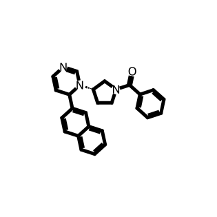 O=C(c1ccccc1)N1CC[C@H](N2C=NC=CC2c2ccc3ccccc3c2)C1